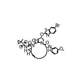 COc1cccc(N[C@H]2CCCCC/C=C\[C@@H]3C[C@@]3(C(=O)NS(=O)(=O)C3(C)CC3)NC(=O)[C@@H]3C[C@@H](Oc4nc5ccc(Br)cc5s4)CN3C2=O)c1